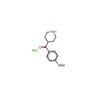 CSc1ccc(C(=O)C2CCNCC2)cc1.Cl